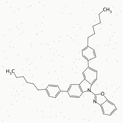 CCCCCCc1ccc(-c2ccc3c(c2)c2cc(-c4ccc(CCCCCC)cc4)ccc2n3-c2nc3ccccc3o2)cc1